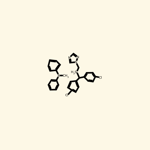 CB(c1ccccc1)c1ccccc1.Clc1ccc(C([SiH2]Cn2cncn2)c2ccc(Cl)cc2)cc1